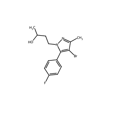 Cc1nn(CCC(C)O)c(-c2ccc(F)cc2)c1Br